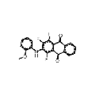 COc1ccccc1Nc1c(F)c(F)c2c(c1F)C(=O)c1ccccc1C2=O